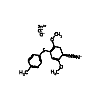 COC1=CC(Sc2ccc(C)cc2)=C(OC)CC1=[N+]=[N-].[Cl-].[Cl-].[Zn+2]